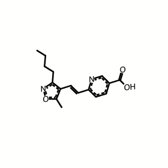 CCCCc1noc(C)c1C=Cc1ccc(C(=O)O)cn1